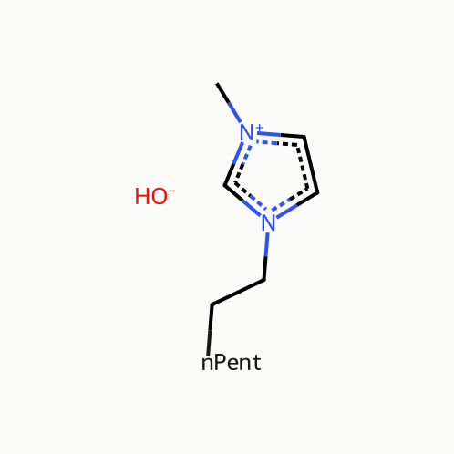 CCCCCCCn1cc[n+](C)c1.[OH-]